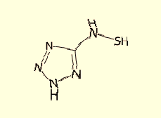 SNc1nn[nH]n1